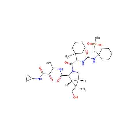 CCCC(NC(=O)[C@@H]1[C@@H]2[C@H](CN1C(=O)[C@@H](NC(=O)NC1(CS(=O)(=O)C(C)(C)C)CCCCC1)C1(C)CCCCC1)[C@@]2(C)CO)C(=O)C(=O)NC1CC1